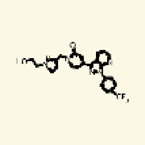 O=c1cc(-c2nn(-c3ccc(C(F)(F)F)cc3)c3ncccc23)ccn1Cc1ccn(CCO)n1